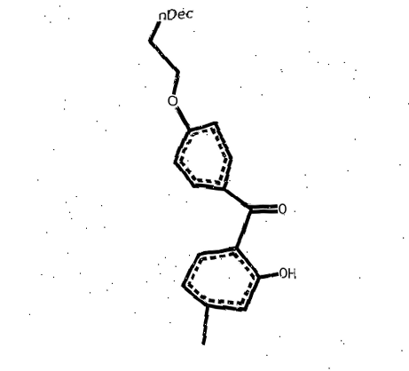 CCCCCCCCCCCCOc1ccc(C(=O)c2ccc(C)cc2O)cc1